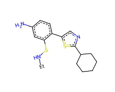 CCNSc1cc(N)ccc1-c1cnc(C2CCCCC2)s1